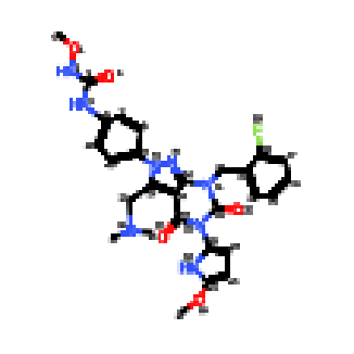 CONC(=O)Nc1ccc(-n2nc3c(c2CN(C)C)c(=O)n(-c2ccc(OC)[nH]2)c(=O)n3Cc2ccccc2F)cc1